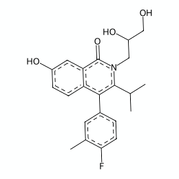 Cc1cc(-c2c(C(C)C)n(CC(O)CO)c(=O)c3cc(O)ccc23)ccc1F